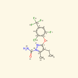 CCc1c(Oc2c(F)cc(C(F)(F)F)cc2Cl)nn(C(N)=O)c1C